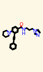 O=C(NCCCn1ccnc1)c1ccc(N2CCCCC2)c(C#Cc2ccccc2)c1